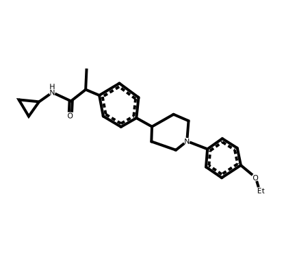 CCOc1ccc(N2CCC(c3ccc(C(C)C(=O)NC4CC4)cc3)CC2)cc1